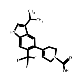 CC(C)c1c[nH]c2cc(C(F)(F)F)c(C3=CCN(C(=O)O)CC3)cc12